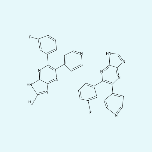 Cc1nc2nc(-c3ccncc3)c(-c3cccc(F)c3)nc2[nH]1.Fc1cccc(-c2nc3[nH]cnc3nc2-c2ccncc2)c1